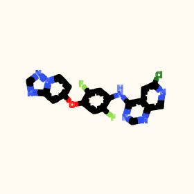 Fc1cc(Oc2ccn3ncnc3c2)c(F)cc1Nc1ncnc2cnc(Cl)cc12